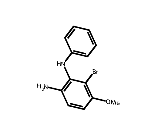 COc1ccc(N)c(Nc2ccccc2)c1Br